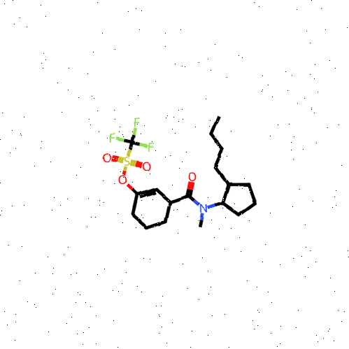 CCCCC1CCCC1N(C)C(=O)C1C=C(OS(=O)(=O)C(F)(F)F)CCC1